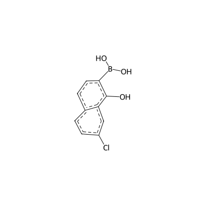 OB(O)c1ccc2ccc(Cl)cc2c1O